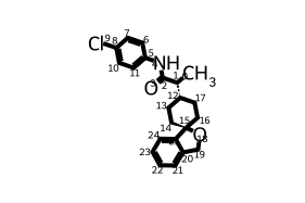 CC(C(=O)Nc1ccc(Cl)cc1)[C@H]1CC[C@@]2(CC1)OCc1ccccc12